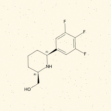 OC[C@H]1CCC[C@@H](c2cc(F)c(F)c(F)c2)N1